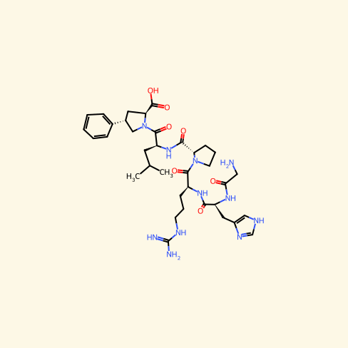 CC(C)C[C@H](NC(=O)[C@@H]1CCCN1C(=O)[C@H](CCCNC(=N)N)NC(=O)[C@H](Cc1c[nH]cn1)NC(=O)CN)C(=O)N1C[C@H](c2ccccc2)C[C@H]1C(=O)O